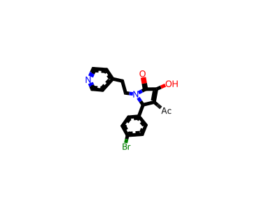 CC(=O)C1=C(O)C(=O)N(CCc2ccncc2)C1c1ccc(Br)cc1